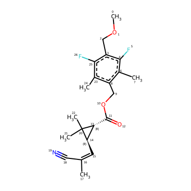 COCc1c(F)c(C)c(COC(=O)[C@@H]2[C@@H](C=C(C)C#N)C2(C)C)c(C)c1F